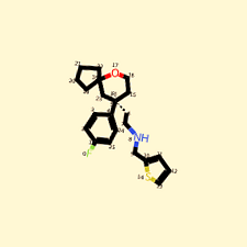 Fc1ccc([C@]2(CCNCc3cccs3)CCOC3(CCCC3)C2)cc1